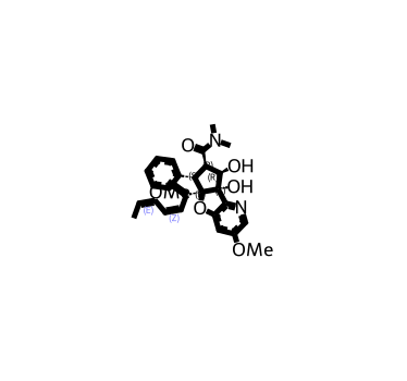 C=C(/C=C\C(=C/C)OC)[C@@]12Oc3cc(OC)cnc3[C@]1(O)[C@H](O)[C@H](C(=O)N(C)C)[C@H]2c1ccccc1